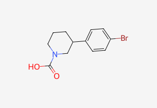 O=C(O)N1CCCC(c2ccc(Br)cc2)C1